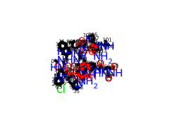 CC(=O)N[C@H](Cc1ccc2ccccc2c1)C(=O)N[C@H](Cc1ccc(Cl)cc1)C(=O)N[C@H](Cc1cccnc1)C(=O)NC(CO)C(=O)N[C@@H](Cc1ccc(NC(=O)[C@@H]2CC(=O)NC(=O)N2)cc1)C(=O)N[C@H](Cc1ccc(NC(N)=O)cc1)C(=O)N[C@@H](CC(C)C)C(=O)N[C@@H](CCCCNC(C)C)C(=O)N1CCC[C@H]1C(=O)N[C@H](C)C(N)=O